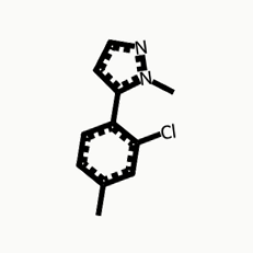 Cc1ccc(-c2ccnn2C)c(Cl)c1